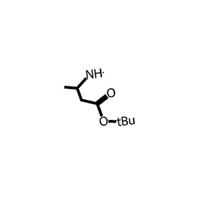 CC([NH])CC(=O)OC(C)(C)C